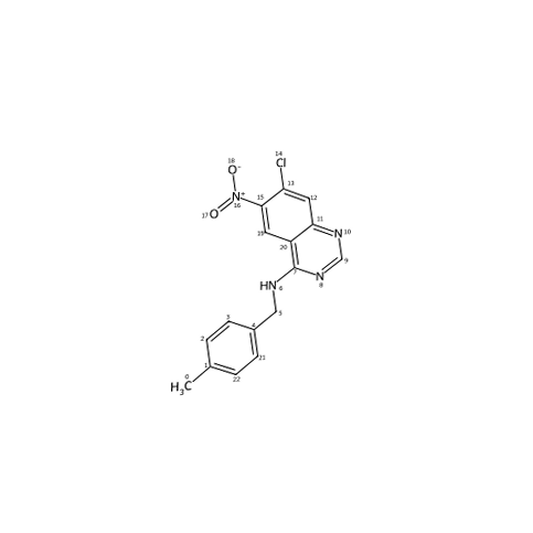 Cc1ccc(CNc2ncnc3cc(Cl)c([N+](=O)[O-])cc23)cc1